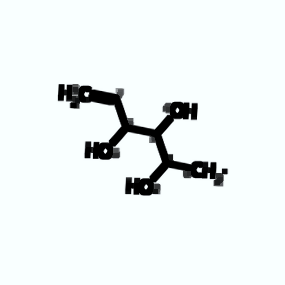 [CH2]C(O)C(O)C(O)C=C